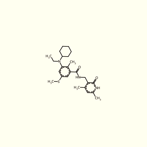 CCN(c1cc(SC)cc(C(=O)NCc2c(C)cc(C)[nH]c2=O)c1C)C1CCCCC1